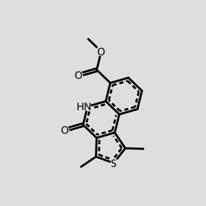 COC(=O)c1cccc2c1[nH]c(=O)c1c(C)sc(C)c12